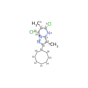 Cc1c(Cl)nc2c(C)c(C3CCCCCCC3)nn2c1Cl